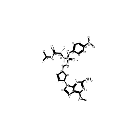 COc1nc(N)nc2c1ncn2[C@H]1C=C[C@@H](COP(=O)(N[C@@H](C)C(=O)OC(C)C)Oc2ccc(N(C)C)cc2)C1